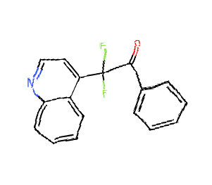 O=C(c1ccccc1)C(F)(F)c1ccnc2ccccc12